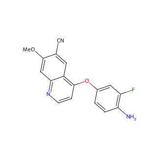 COc1cc2nccc(Oc3ccc(N)c(F)c3)c2cc1C#N